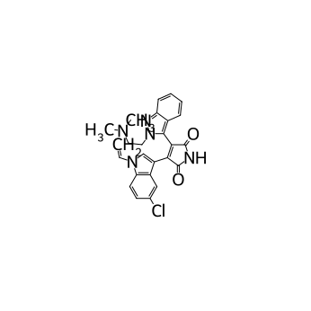 C=Cn1cc(C2=C(c3c4ccccc4nn3CCN(C)C)C(=O)NC2=O)c2cc(Cl)ccc21